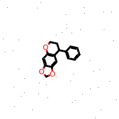 c1ccc(C2CCOc3cc4c(cc32)OCO4)cc1